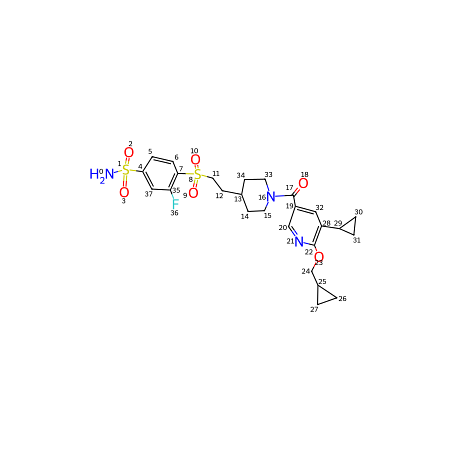 NS(=O)(=O)c1ccc(S(=O)(=O)CCC2CCN(C(=O)c3cnc(OCC4CC4)c(C4CC4)c3)CC2)c(F)c1